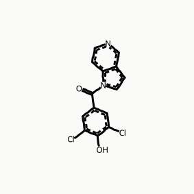 O=C(c1cc(Cl)c(O)c(Cl)c1)n1ccc2cnccc21